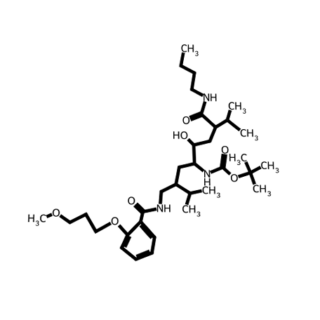 CCCCNC(=O)C(CC(O)C(CC(CNC(=O)c1ccccc1OCCCOC)C(C)C)NC(=O)OC(C)(C)C)C(C)C